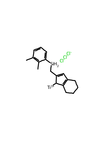 Cc1cccc([SiH2]CC2=CC3=C(CCCC3)[CH]2[Ti+3])c1C.[Cl-].[Cl-].[Cl-]